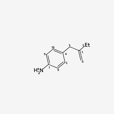 C=C(CC)Cc1ccc(N)cc1